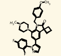 COc1ccc(CN2C(=O)C3(CCC3)c3cc(-c4ccnn4-c4ccc(F)cc4F)cc(N4CCN(C)CC4)c32)cc1